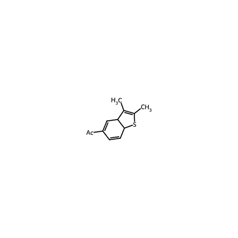 CC(=O)C1=CC2C(C)=C(C)SC2C=C1